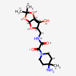 CC1(N)CCN(C(=O)C(=O)NCC2OC3OC(C)(C)OC3=C2O)CC1